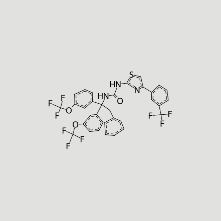 O=C(Nc1nc(-c2cccc(C(F)(F)F)c2)cs1)NC(Cc1ccccc1)(c1cccc(OC(F)(F)F)c1)c1cccc(OC(F)(F)F)c1